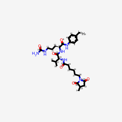 [2H]Cc1ccc(NC(=O)[C@H](CCCNC(N)=O)NC(=O)[C@@H](NC(=O)CCCCCN2C(=O)CC(C)C2=O)C(C)C)cc1